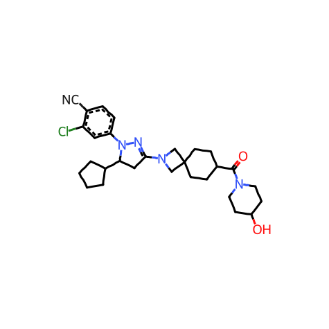 N#Cc1ccc(N2N=C(N3CC4(CCC(C(=O)N5CCC(O)CC5)CC4)C3)CC2C2CCCC2)cc1Cl